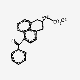 CCOC(=O)NC1Cc2cccc3c(C(=O)c4ccccc4)ccc(c23)C1